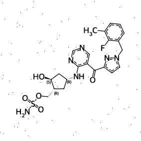 Cc1cccc(Cn2ccc(C(=O)c3cncnc3N[C@@H]3C[C@H](COS(N)(=O)=O)[C@@H](O)C3)n2)c1F